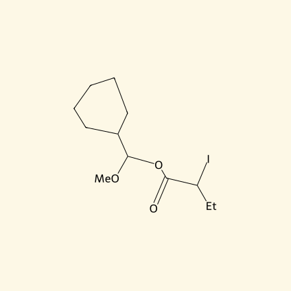 CCC(I)C(=O)OC(OC)C1CCCCC1